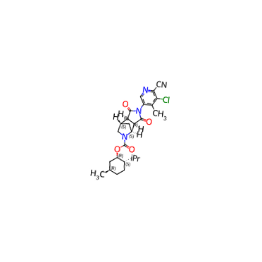 Cc1c(N2C(=O)[C@@H]3[C@@H]4C[C@@H]([C@@H]3C2=O)N(C(=O)O[C@@H]2C[C@H](C)CC[C@H]2C(C)C)C4)cnc(C#N)c1Cl